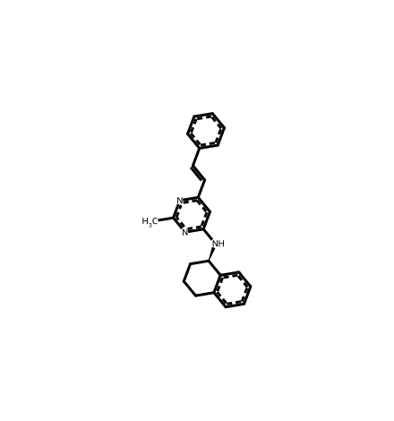 Cc1nc(/C=C/c2ccccc2)cc(N[C@@H]2CCCc3ccccc32)n1